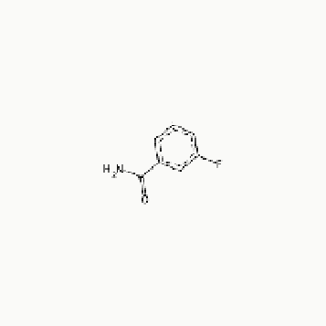 NC(=O)c1c[c]cc(F)c1